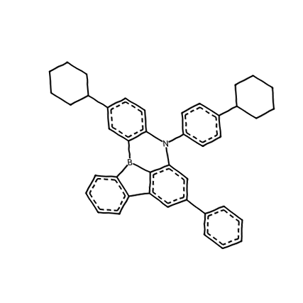 c1ccc(-c2cc3c4c(c2)N(c2ccc(C5CCCCC5)cc2)c2ccc(C5CCCCC5)cc2B4c2ccccc2-3)cc1